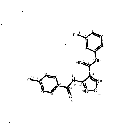 N=C(Nc1cccc(Cl)c1)c1nonc1NC(=O)c1ccc(Cl)cc1